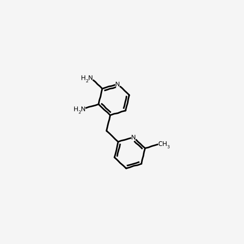 Cc1cccc(Cc2ccnc(N)c2N)n1